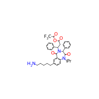 CC(C)N1C(=O)C(c2ccccc2)N(C(CC(=O)OC(=O)C(F)(F)F)c2ccccc2)C(=O)c2cc(CCCCCN)ccc21